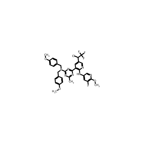 COc1ccc(CN(Cc2ccc(OC)cc2)c2nc(C)nc(-c3cc(C(Cl)C(F)(F)F)cnc3Nc3cnc(OC)c(F)c3)n2)cc1